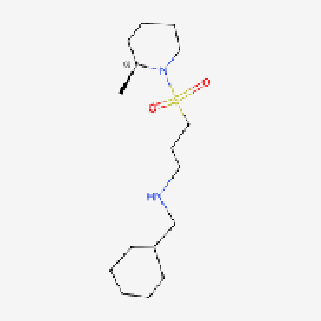 C[C@H]1CCCCN1S(=O)(=O)CCCNCC1CCCCC1